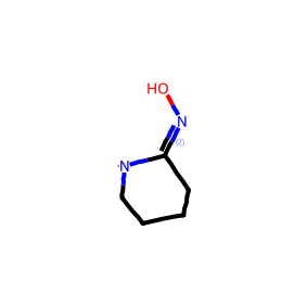 O/N=C1/CCCC[N]1